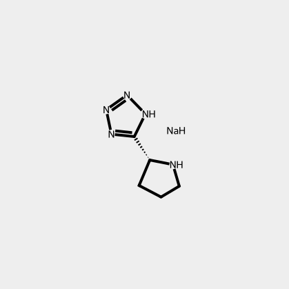 C1CN[C@@H](c2nnn[nH]2)C1.[NaH]